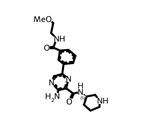 COCCNC(=O)c1cccc(-c2cnc(N)c(C(=O)N[C@H]3CCCNC3)n2)c1